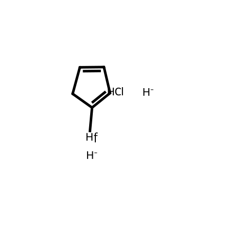 Cl.[H-].[H-].[Hf][C]1=CC=CC1